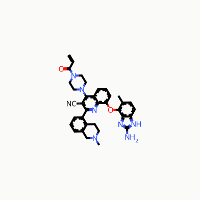 C=CC(=O)N1CCN(c2c(C#N)c(-c3cccc4c3CCN(C)C4)nc3c(Oc4c(C)ccc5[nH]c(N)nc45)cccc23)CC1